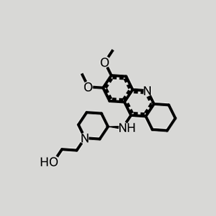 COc1cc2nc3c(c(N[C@@H]4CCCN(CCO)C4)c2cc1OC)CCCC3